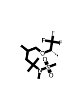 CC(CO[C@@H](C)C(F)(F)F)CC(C)(C)N(C)S(C)(=O)=O